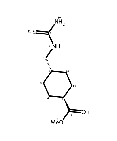 COC(=O)[C@H]1CC[C@H](CNC(N)=S)CC1